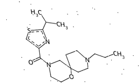 CCCN1CCC2(CC1)CN(C(=O)c1csc(C(C)C)n1)CCO2